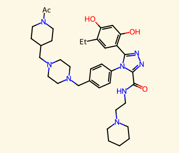 CCc1cc(-c2nnc(C(=O)NCCN3CCCCC3)n2-c2ccc(CN3CCN(CC4CCN(C(C)=O)CC4)CC3)cc2)c(O)cc1O